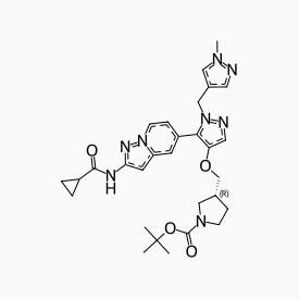 Cn1cc(Cn2ncc(OC[C@@H]3CCN(C(=O)OC(C)(C)C)C3)c2-c2ccn3nc(NC(=O)C4CC4)cc3c2)cn1